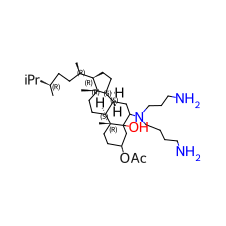 CC(=O)OC1CC[C@]2(C)[C@H]3CC[C@]4(C)[C@@H]([C@H](C)CC[C@@H](C)C(C)C)CC[C@H]4[C@@H]3CC(N(CCCN)CCCCN)C2(O)C1